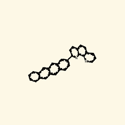 c1ccc2cc3cc4cc(-c5ccc6ccc7cccnc7c6n5)ccc4cc3cc2c1